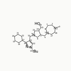 CN1CCCN(CC2CN(Cc3cn(C(C)(C)C)nc3C3CCCCC3)CC2CO)CC1